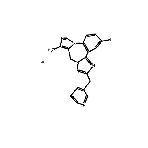 Cc1ncn2c1Cn1nc(Cc3cccnc3)nc1-c1cc(I)ccc1-2.Cl